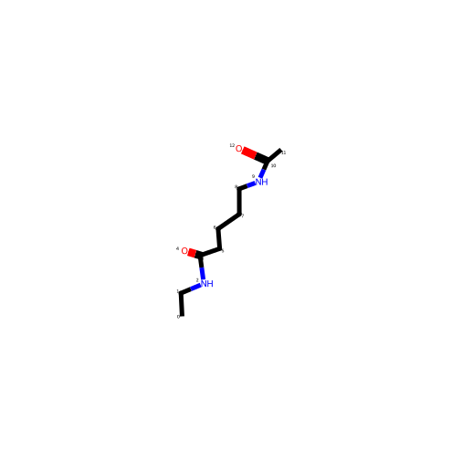 CCNC(=O)CCCCNC(C)=O